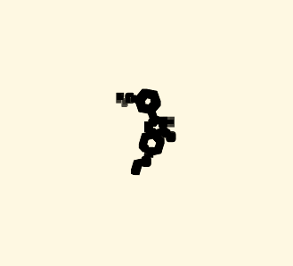 C=CON1CCC2(CC1)N=C(c1cccc(C(F)(F)F)c1)NC2=O